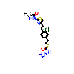 CC(=O)Nc1nc(CCc2ccc(CCSC(=O)NN)cc2)cs1.Cl